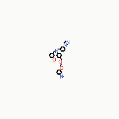 COc1cccc(CN(Cc2cccc(-n3ccnc3)c2)c2ccc(COCCOc3cccc(N(C)C)c3)cc2)c1